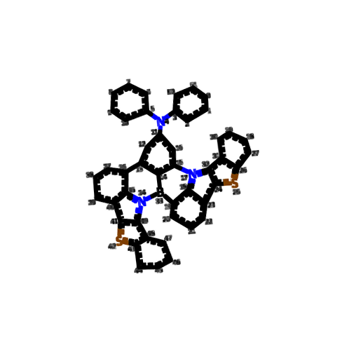 c1ccc(N(c2ccccc2)c2cc3c4c(c2)-n2c5c(cccc5c5sc6ccccc6c52)B4n2c4c-3cccc4c3sc4ccccc4c32)cc1